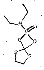 CCN(CC)P1(=O)OC2(O1)SCCS2